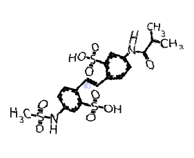 CC(C)C(=O)Nc1ccc(/C=C/c2ccc(NS(C)(=O)=O)cc2S(=O)(=O)O)c(S(=O)(=O)O)c1